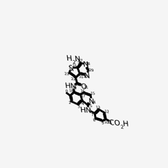 Cc1ccc2c(Nc3ccc(C(=O)O)cc3)nccc2c1NC(=O)c1csc2c(N)ncnc12